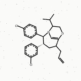 C=CCC1C[C@H](c2cccc(Cl)c2)C(c2ccc(Cl)cc2)N2C=C1OCC2C(C)C